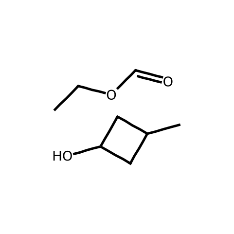 CC1CC(O)C1.CCOC=O